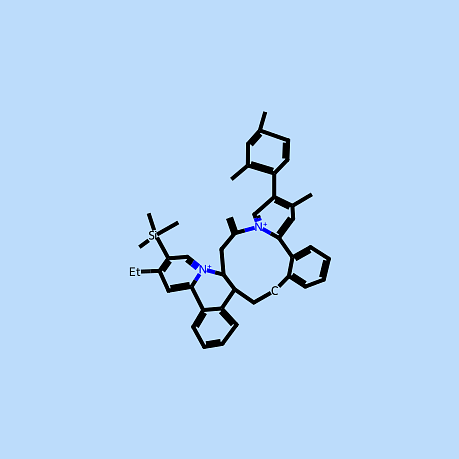 C=C1CC2C(CCc3ccccc3-c3cc(C)c(-c4ccc(C)cc4C)c[n+]31)c1ccccc1-c1cc(CC)c([Si](C)(C)C)c[n+]12